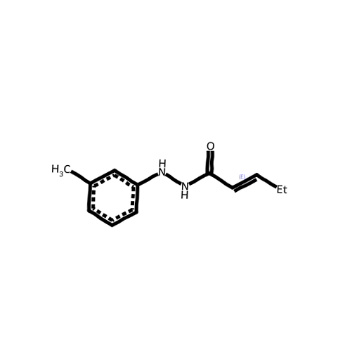 CC/C=C/C(=O)NNc1cccc(C)c1